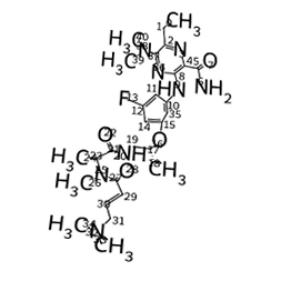 CCc1nc(C(N)=O)c(Nc2cc(F)cc(O[C@H](C)CNC(=O)C(C)N(C)C(=O)/C=C/CN(C)C)c2)nc1N(C)C